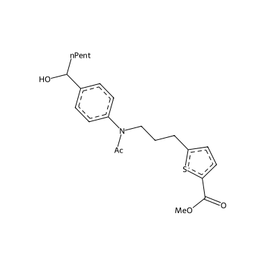 CCCCCC(O)c1ccc(N(CCCc2ccc(C(=O)OC)s2)C(C)=O)cc1